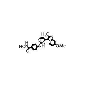 COc1ccn2c(-c3ccnc(Nc4ccc(C(=O)NO)cc4)n3)c(C)nc2c1